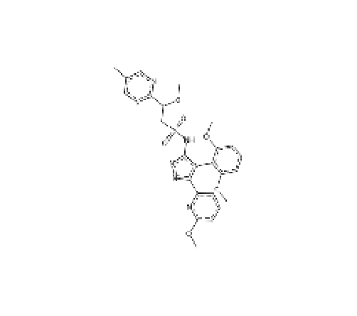 COc1cccc(-c2nnc(NS(=O)(=O)CC(OC)c3ncc(C)cn3)n2-c2c(OC)cccc2OC)n1